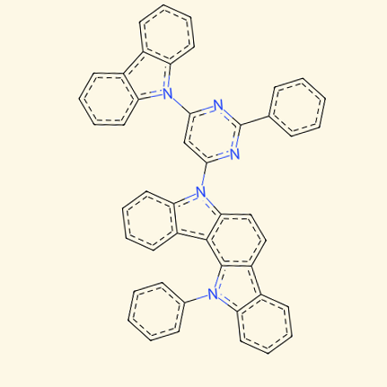 c1ccc(-c2nc(-n3c4ccccc4c4ccccc43)cc(-n3c4ccccc4c4c3ccc3c5ccccc5n(-c5ccccc5)c34)n2)cc1